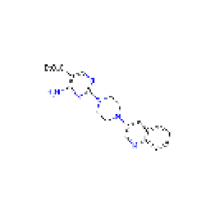 CCOC(=O)c1cnc(N2CCN(c3cnc4ccccc4c3)CC2)nc1N